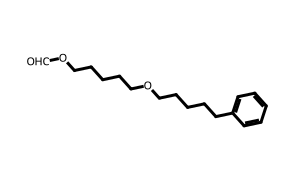 O=COCCCCCOCCCCCc1ccccc1